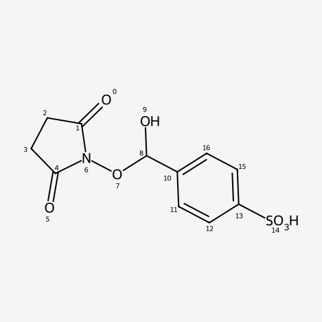 O=C1CCC(=O)N1OC(O)c1ccc(S(=O)(=O)O)cc1